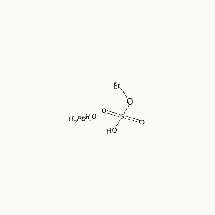 CCOS(=O)(=O)O.O.[PbH2]